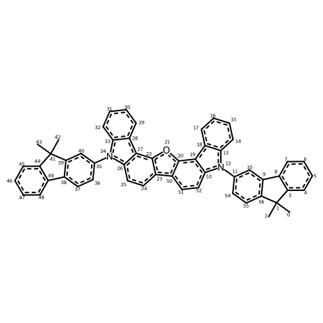 CC1(C)c2ccccc2-c2cc(-n3c4ccccc4c4c5oc6c(ccc7c6c6ccccc6n7-c6ccc7c(c6)C(C)(C)c6ccccc6-7)c5ccc43)ccc21